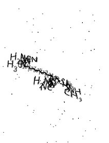 Cc1[nH]cnc1CSCCN(CCCCCCCCCCN(C)C(N)=NC#N)C(N)=NC#N